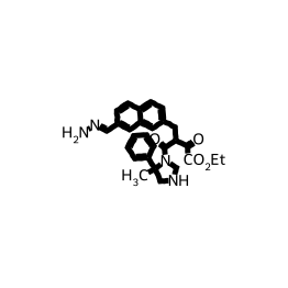 CCOC(=O)C(=O)C(Cc1ccc2ccc(C=NN)cc2c1)C(=O)N1CNCC1(C)c1ccccc1